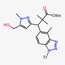 CCn1nnc2c(C)c(C(c3cc(CO)n(C)n3)C(C)(C)C(=O)OC)ccc21